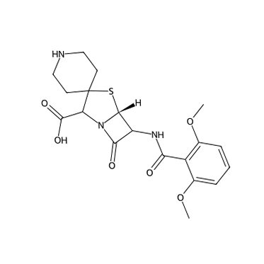 COc1cccc(OC)c1C(=O)NC1C(=O)N2C(C(=O)O)C3(CCNCC3)S[C@H]12